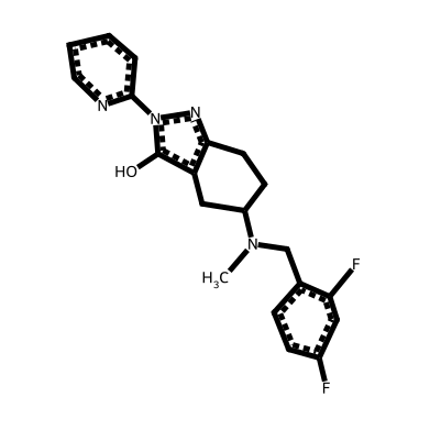 CN(Cc1ccc(F)cc1F)C1CCc2nn(-c3ccccn3)c(O)c2C1